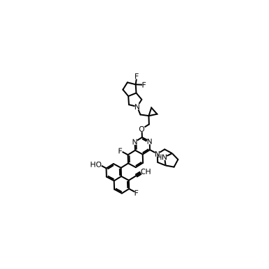 C#Cc1c(F)ccc2cc(O)cc(-c3ccc4c(N5CC6CCC(C5)N6)nc(OCC5(CN6CC7CCC(F)(F)C7C6)CC5)nc4c3F)c12